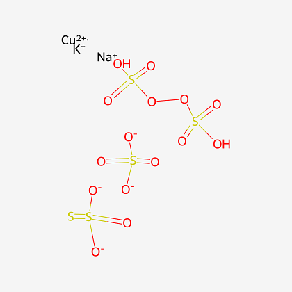 O=S(=O)(O)OOS(=O)(=O)O.O=S(=O)([O-])[O-].O=S([O-])([O-])=S.[Cu+2].[K+].[Na+]